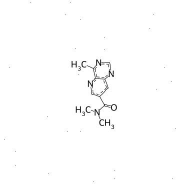 Cc1ncnc2cc(C(=O)N(C)C)cnc12